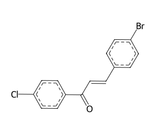 O=C(/C=C/c1ccc(Br)cc1)c1ccc(Cl)cc1